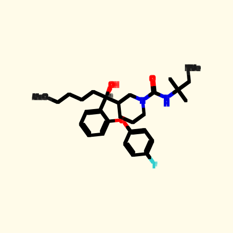 CNCC(C)(C)NC(=O)N1CCCC([C@@](O)(CCCCOC)c2ccccc2Oc2ccc(F)cc2)C1